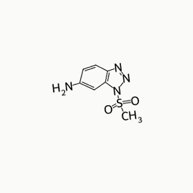 CS(=O)(=O)n1nnc2ccc(N)cc21